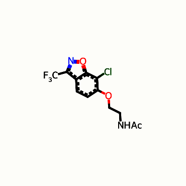 CC(=O)NCCOc1ccc2c(C(F)(F)F)noc2c1Cl